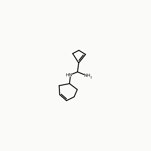 NC(NC1CC=CCC1)C1=CCC1